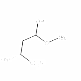 CCC[C@H](CC(O)OC(C)(C)C)C(=O)O